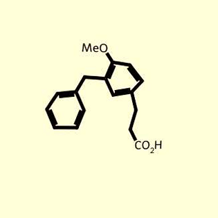 COc1ccc(CCC(=O)O)cc1Cc1ccccc1